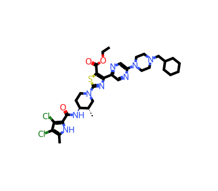 CCOC(=O)c1sc(N2CC[C@@H](NC(=O)c3[nH]c(C)c(Cl)c3Cl)[C@@H](C)C2)nc1-c1cnc(N2CCN(CC3CCCCC3)CC2)cn1